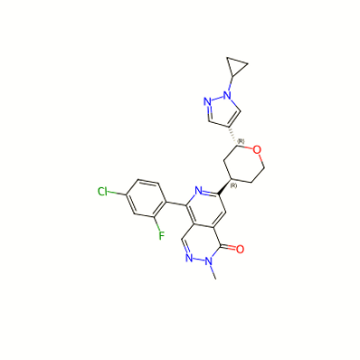 Cn1ncc2c(-c3ccc(Cl)cc3F)nc([C@@H]3CCO[C@@H](c4cnn(C5CC5)c4)C3)cc2c1=O